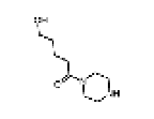 O=C(CCCCO)N1CCNCC1